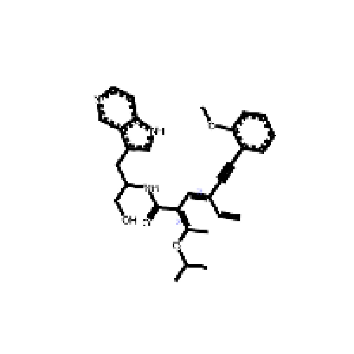 C=C/C(C#Cc1ccccc1OC)=C\C(C(=O)NC(CO)Cc1c[nH]c2ccncc12)=C(/C)OC(C)C